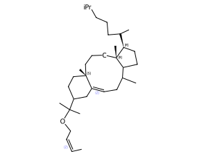 C/C=C\COC(C)(C)C1CC[C@]2(C)CCC[C@@]3(C)C(CC[C@@H]3C(C)CCCC(C)C)C(C)C/C=C\2C1